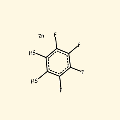 Fc1c(F)c(F)c(S)c(S)c1F.[Zn]